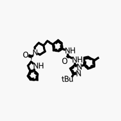 Cc1ccc(-n2nc(C(C)(C)C)cc2NC(=O)Nc2ccc(CC3CCN(C(=O)[C@H]4Cc5ccccc5N4)CC3)cc2)cc1